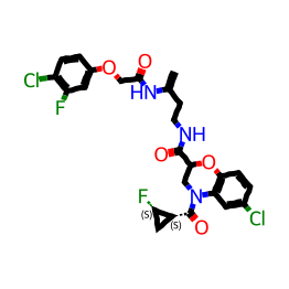 C=C(CCNC(=O)C1CN(C(=O)[C@@H]2C[C@@H]2F)c2cc(Cl)ccc2O1)NC(=O)COc1ccc(Cl)c(F)c1